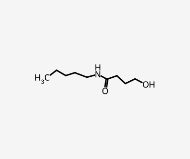 CCCCCNC(=O)CCCO